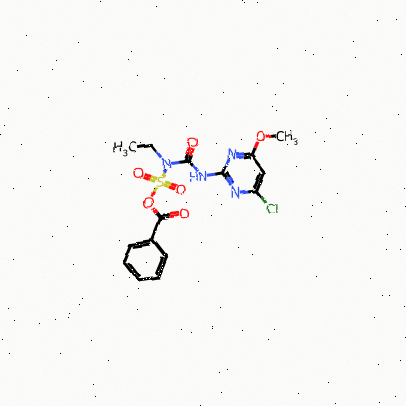 CCN(C(=O)Nc1nc(Cl)cc(OC)n1)S(=O)(=O)OC(=O)c1ccccc1